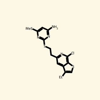 CCc1csc2c(Cl)nc(CCSc3nc(N)cc(SC)n3)cc12